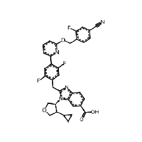 N#Cc1ccc(COc2cccc(-c3cc(F)c(Cc4nc5ccc(C(=O)O)cc5n4[C@@H]4COCC4C4CC4)cc3F)n2)c(F)c1